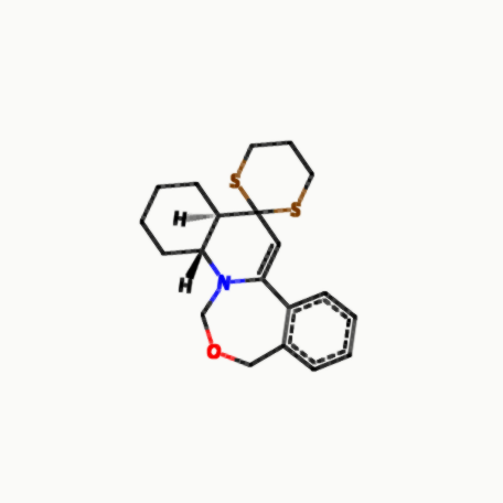 C1=C2c3ccccc3COCN2[C@@H]2CCCC[C@H]2C12SCCCS2